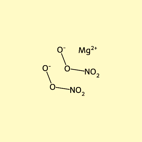 O=[N+]([O-])O[O-].O=[N+]([O-])O[O-].[Mg+2]